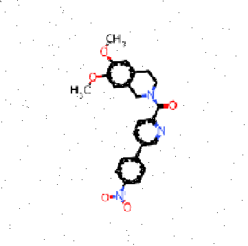 COc1cc2c(cc1OC)CN(C(=O)c1ccc(-c3ccc([N+](=O)[O-])cc3)cn1)CC2